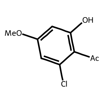 COc1cc(O)c(C(C)=O)c(Cl)c1